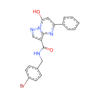 O=C(NCc1ccc(Br)cc1)c1cnn2c(O)cc(-c3ccccc3)nc12